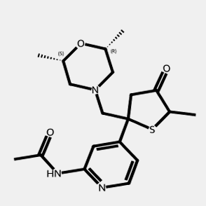 CC(=O)Nc1cc(C2(CN3C[C@@H](C)O[C@@H](C)C3)CC(=O)C(C)S2)ccn1